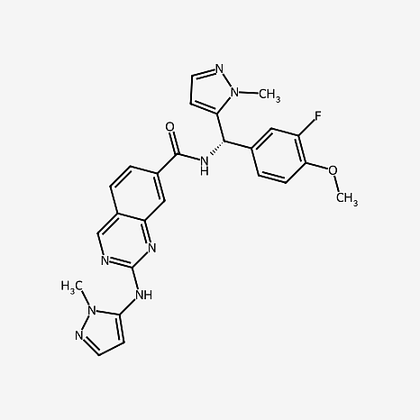 COc1ccc([C@H](NC(=O)c2ccc3cnc(Nc4ccnn4C)nc3c2)c2ccnn2C)cc1F